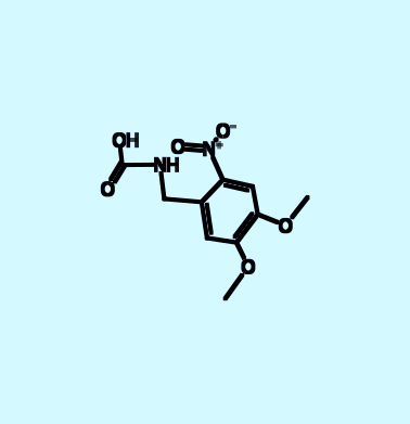 COc1cc(CNC(=O)O)c([N+](=O)[O-])cc1OC